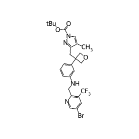 Cc1cn(C(=O)OC(C)(C)C)nc1CC1(c2cccc(NCc3ncc(Br)cc3C(F)(F)F)c2)COC1